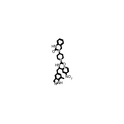 Cc1cc(CC(NC(=O)N2CCC(N3Cc4ccccc4NC3=O)CC2)c2cc([N+](=O)[O-])ccn2)cc2cn[nH]c12